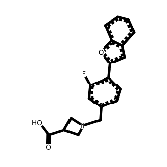 O=C(O)C1CN(Cc2ccc(-c3cc4ccccc4o3)c(F)c2)C1